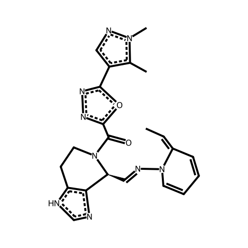 C/C=C1/C=CC=CN1/N=C/[C@H]1c2nc[nH]c2CCN1C(=O)c1nnc(-c2cnn(C)c2C)o1